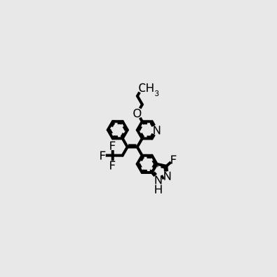 CCCOc1cncc(/C(=C(/CC(F)(F)F)c2ccccc2)c2ccc3[nH]nc(F)c3c2)c1